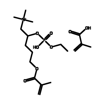 C=C(C)C(=O)O.C=C(C)C(=O)OCCCC(C[N+](C)(C)C)OP(=O)(O)OCC